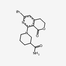 CC(C)c1cc2c(c(N3CCCC(C(N)=O)C3)n1)C(=O)OCC2